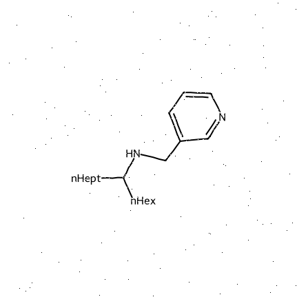 CCCCCCCC(CCCCCC)NCc1cccnc1